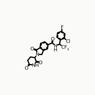 O=C1CCC(N2Cc3cc(C(=O)NC(c4ccc(F)cc4Cl)C(F)(F)F)ccc3C2=O)C(=O)N1